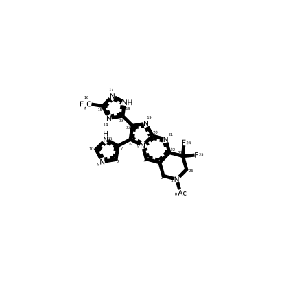 CC(=O)N1Cc2cn3c(-c4cnc[nH]4)c(-c4nc(C(F)(F)F)n[nH]4)nc3nc2C(F)(F)C1